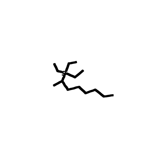 CCCCCCC(C)[Si](CC)(CC)CC